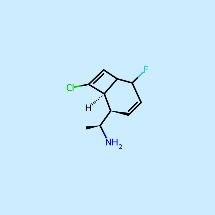 C[C@H](N)[C@@H]1C=CC(F)C2C=C(Cl)[C@@H]21